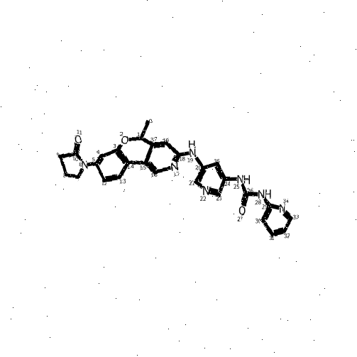 CC1Oc2cc(N3CCCC3=O)ccc2-c2cnc(Nc3cncc(NC(=O)Nc4ccccn4)c3)cc21